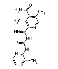 Cc1cccnc1NC(=S)NC(=N)c1ncc(C)c(C(N)=O)c1C